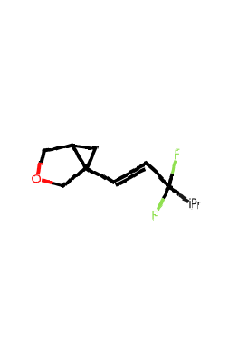 CC(C)C(F)(F)/C=C/C12COCC1C2